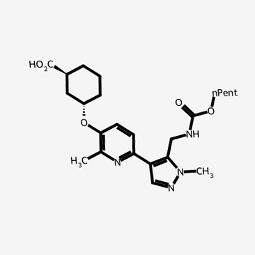 CCCCCOC(=O)NCc1c(-c2ccc(O[C@H]3CCC[C@H](C(=O)O)C3)c(C)n2)cnn1C